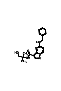 CC(C)(CO)NC(=O)c1cnn2ccc(NCc3cccnc3)nc12